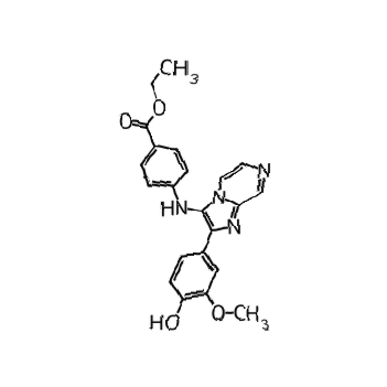 CCOC(=O)c1ccc(Nc2c(-c3ccc(O)c(OC)c3)nc3cnccn23)cc1